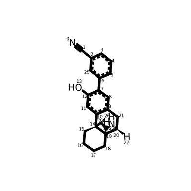 N#Cc1cccc(-c2cc3c(cc2O)[C@@]24CCCC[C@H]2[C@@H](C3)NCC4)c1